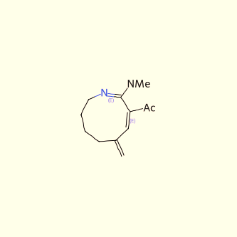 C=C1/C=C(C(C)=O)\C(NC)=N/CCCC1